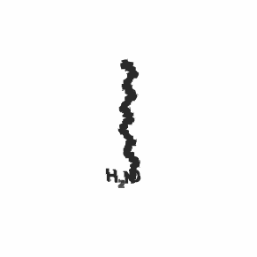 CC(C)=CCCC(C)=CCCC(C)=CCCC(C)=CCCC(C)=CCCC(C)=CCCC(C)=CCCC(C)=CCCC(C)=CCCC(C)=CCCC(N)=O